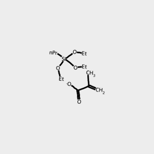 C=C(C)C([O])=O.CCC[Si](OCC)(OCC)OCC